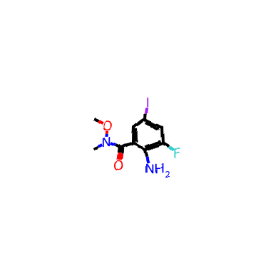 CON(C)C(=O)c1cc(I)cc(F)c1N